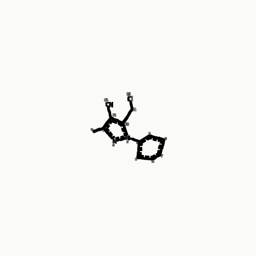 Cc1nn(-c2ccccc2)c(CCl)c1C#N